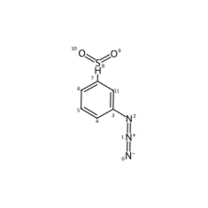 [N-]=[N+]=Nc1cccc([SH](=O)=O)c1